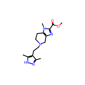 COC(=O)c1nc2c(n1C)CCN(CCc1c(C)n[nH]c1C)C2